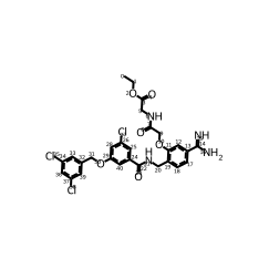 CCOC(=O)CNC(=O)COc1cc(C(=N)N)ccc1CNC(=O)c1cc(Cl)cc(OCc2cc(Cl)cc(Cl)c2)c1